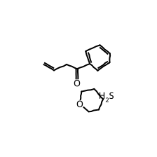 C1CCOCC1.C=CCC(=O)c1ccccc1.S